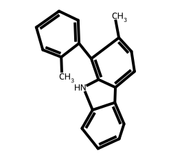 Cc1ccccc1-c1c(C)ccc2c1[nH]c1ccccc12